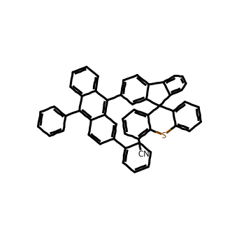 N#Cc1cccc2c1Sc1ccccc1C21c2ccccc2-c2ccc(-c3c4ccccc4c(-c4ccccc4)c4ccc(C5=CC=CCC5)cc34)cc21